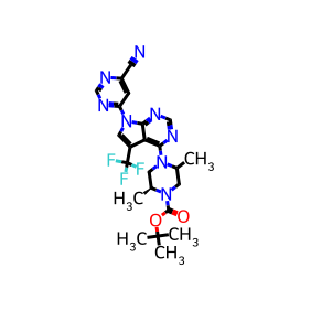 CC1CN(C(=O)OC(C)(C)C)[C@@H](C)CN1c1ncnc2c1c(C(F)(F)F)cn2-c1cc(C#N)ncn1